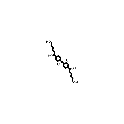 CC(C)(c1ccc(C(O)CCCCCO)cc1)c1ccc(C(O)CCCCCO)cc1